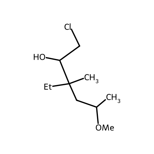 CCC(C)(CC(C)OC)C(O)CCl